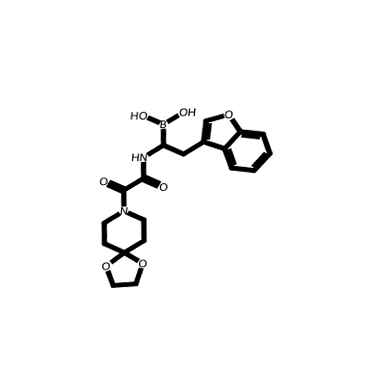 O=C(NC(Cc1coc2ccccc12)B(O)O)C(=O)N1CCC2(CC1)OCCO2